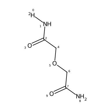 [2H]NC(=O)COCC(N)=O